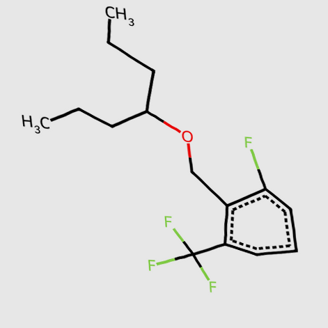 CCCC(CCC)OCc1c(F)cccc1C(F)(F)F